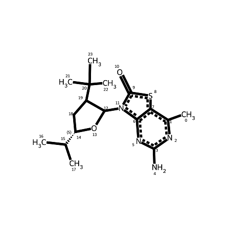 Cc1nc(N)nc2c1sc(=O)n2C1O[C@H](C(C)C)CC1C(C)(C)C